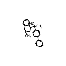 CN1Cc2ccccc2C(C(C)(O)c2ccc(-c3ccccc3)cc2)C1